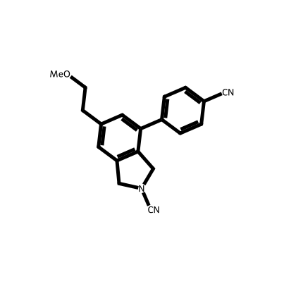 COCCc1cc2c(c(-c3ccc(C#N)cc3)c1)CN(C#N)C2